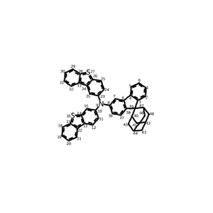 c1ccc2c(c1)-c1cc(N(c3ccc4c(c3)sc3ccccc34)c3ccc4sc5ccccc5c4c3)ccc1C21C2CC3CC(C2)CC1C3